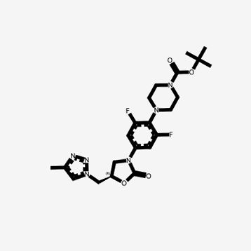 Cc1cn(C[C@H]2CN(c3cc(F)c(N4CCN(C(=O)OC(C)(C)C)CC4)c(F)c3)C(=O)O2)nn1